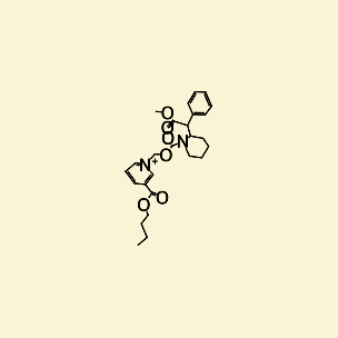 CCCCOC(=O)c1ccc[n+](COC(=O)N2CCCCC2C(C(=O)OC)c2ccccc2)c1